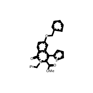 COC(=O)c1c(-c2cccs2)c2cc(OCc3ccccc3)ccc2c(=O)n1CC(C)C